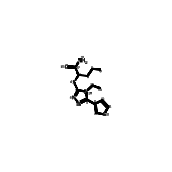 CCCC(Sc1nnc(-c2ccsc2)n1CC)C(N)=O